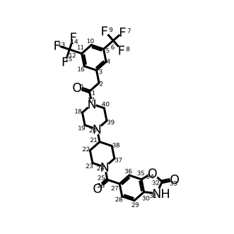 O=C(Cc1cc(C(F)(F)F)cc(C(F)(F)F)c1)N1CCN(C2CCN(C(=O)c3ccc4[nH]c(=O)oc4c3)CC2)CC1